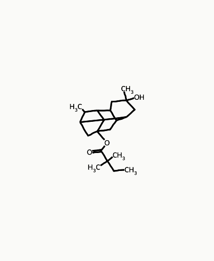 CCC(C)(C)C(=O)OC12CC3C(C)C(C1)C1CC(C)(O)CC3C1C2